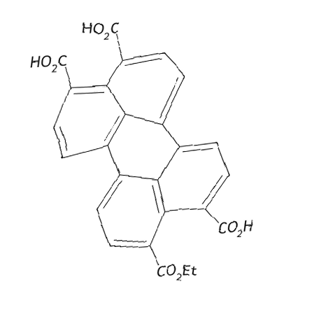 CCOC(=O)c1ccc2c3ccc(C(=O)O)c4c(C(=O)O)ccc(c5ccc(C(=O)O)c1c52)c43